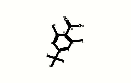 Cc1cc(C(C)(C)C)cc(C)c1C([O])=O